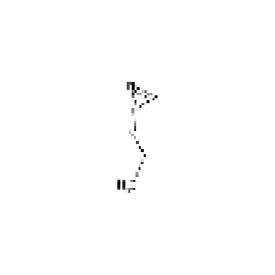 CC/C=C1C=N\1